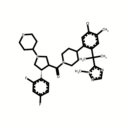 Cc1cc(C(C)(C)c2ncnn2C)c(C2CCN(C(=O)C3CN(C4CCOCC4)C[C@H]3c3ccc(F)cc3F)CC2)cc1Cl